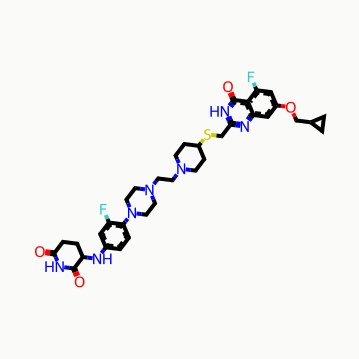 O=C1CCC(Nc2ccc(N3CCN(CCN4CCC(SCc5nc6cc(OCC7CC7)cc(F)c6c(=O)[nH]5)CC4)CC3)c(F)c2)C(=O)N1